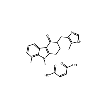 Cc1[nH]cnc1CC1CCc2c(c3cccc(F)c3n2C)C1=O.O=C(O)/C=C\C(=O)O